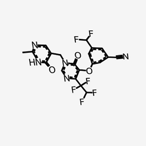 Cc1ncc(Cn2cnc(C(F)(F)C(F)F)c(Oc3cc(C#N)cc(C(F)F)c3)c2=O)c(=O)[nH]1